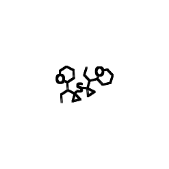 CCC(C1CCCCO1)C1(SC2(C(CC)C3CCCCO3)CC2)CC1